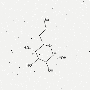 CC(C)(C)OCC1O[C@H](O)C(O)C(O)[C@@H]1O